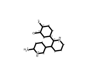 NC1CCC(C2CCCNC2C2CCC(F)C(Cl)C2)CN1